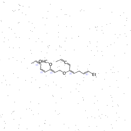 CC=C=C/C(=C\C/C=C/CC)OC/C=C(/C=C\C=C/C)OC=O